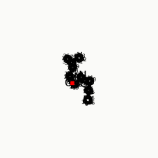 c1ccc(-c2ccc(-c3cccc4c3oc3c(-c5cccc6oc7ccc(-c8ccc9c(c8)c8ccccc8n9-c8ccccc8)cc7c56)ncnc34)cc2)cc1